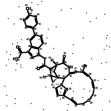 CC(=O)c1nn(CC(=O)N2[C@H]3C[C@@]4(C[C@@H]24)C2C(=NC(Br)=CC=CCOC/C=C/c4ccn2n4)NC3=O)c2ccc(-c3cnc(C)nc3)cc12